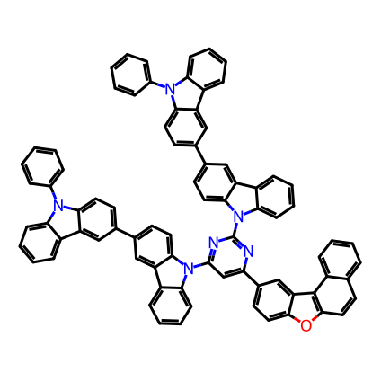 c1ccc(-n2c3ccccc3c3cc(-c4ccc5c(c4)c4ccccc4n5-c4cc(-c5ccc6oc7ccc8ccccc8c7c6c5)nc(-n5c6ccccc6c6cc(-c7ccc8c(c7)c7ccccc7n8-c7ccccc7)ccc65)n4)ccc32)cc1